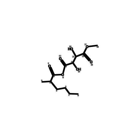 CCCCC(C)C(=O)OC(=O)C(O)C(O)C(=O)OC